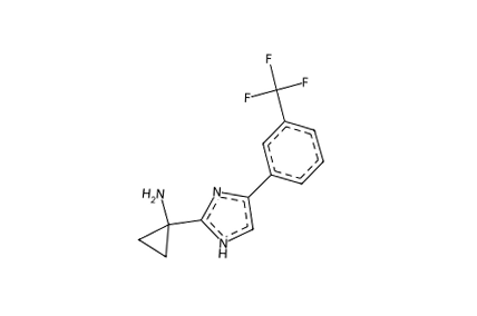 NC1(c2nc(-c3cccc(C(F)(F)F)c3)c[nH]2)CC1